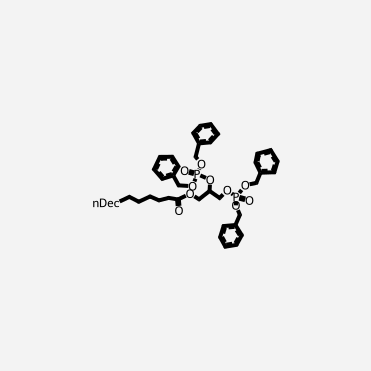 CCCCCCCCCCCCCCCC(=O)OCC(COP(=O)(OCc1ccccc1)OCc1ccccc1)OP(=O)(OCc1ccccc1)OCc1ccccc1